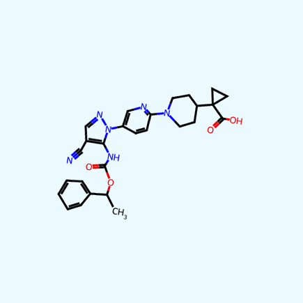 CC(OC(=O)Nc1c(C#N)cnn1-c1ccc(N2CCC(C3(C(=O)O)CC3)CC2)nc1)c1ccccc1